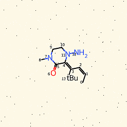 C/C=C\C(=C1\C(=O)N(C)CCN1N)C(C)(C)C